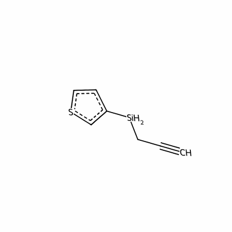 C#CC[SiH2]c1ccsc1